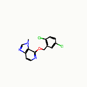 Cn1cnc2ccnc(OCc3cc(Cl)ccc3Cl)c21